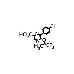 CC(Oc1ncc(C(=O)O)nc1-c1ccc(Cl)cc1)C(F)(F)F